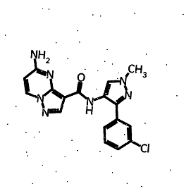 Cn1cc(NC(=O)c2cnn3ccc(N)nc23)c(-c2cccc(Cl)c2)n1